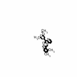 CCC[C@@H](CC(=O)OCC)C1C(=O)N(Cc2nsc3cc(C)cc(C)c23)c2cccnc21